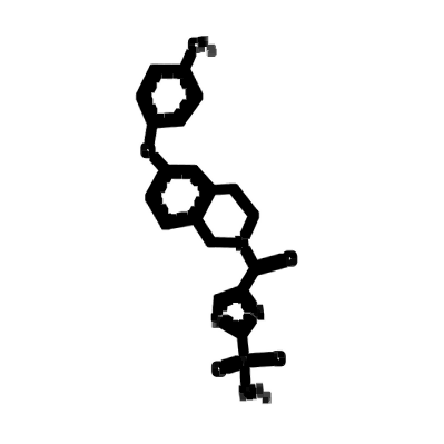 NS(=O)(=O)c1nc(C(=O)N2CCc3cc(Oc4ccc(C(F)(F)F)cc4)ccc3C2)cs1